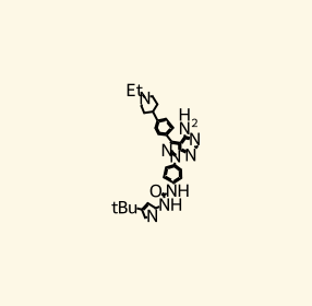 CCN1CCC(c2ccc(-c3nn(-c4ccc(NC(=O)NC5=NCC(C(C)(C)C)=C5)cc4)c4ncnc(N)c34)cc2)CC1